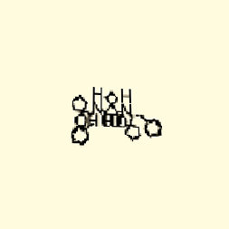 O=C(N[C@H](Cc1ccccc1)C1(O)CCCC1)C1(C(=O)N[C@H](Cc2ccccc2)C2(O)CCCC2)CCC1